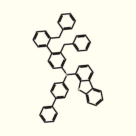 c1ccc(Cc2ccccc2-c2ccc(N(c3ccc(-c4ccccc4)cc3)c3cccc4c3sc3ccccc34)cc2Cc2ccccc2)cc1